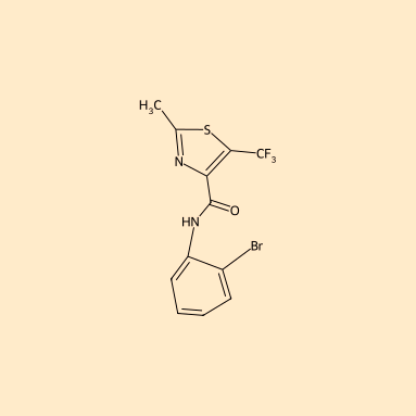 Cc1nc(C(=O)Nc2ccccc2Br)c(C(F)(F)F)s1